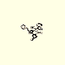 COc1ccc(Cl)cc1-c1nn(CCN2CCOCC2)cc1NC(O)c1cnn2cccnc12